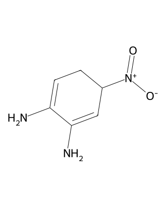 NC1=CCC([N+](=O)[O-])C=C1N